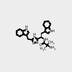 CC(C)(N)C(=O)N[C@H](Cc1c[nH]c2ccccc12)c1nnc(Cc2c[nH]c3ccccc23)[nH]1